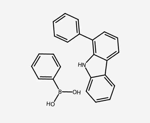 OB(O)c1ccccc1.c1ccc(-c2cccc3c2[nH]c2ccccc23)cc1